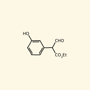 CCOC(=O)C(C=O)c1cccc(O)c1